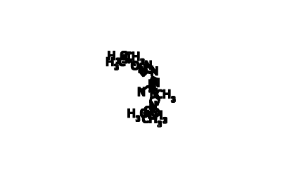 CC(C)(C)OC(=O)N1CCC(C)(N2CC(CC#N)(n3cc(-c4ncnc5c4ccn5COCC[Si](C)(C)C)cn3)C2)CC1